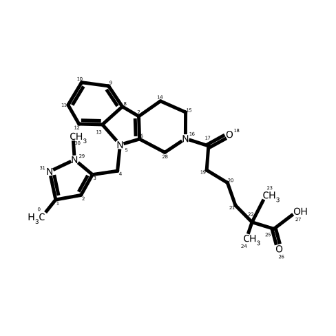 Cc1cc(Cn2c3c(c4ccccc42)CCN(C(=O)CCCC(C)(C)C(=O)O)C3)n(C)n1